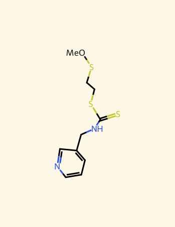 COSCCSC(=S)NCc1cccnc1